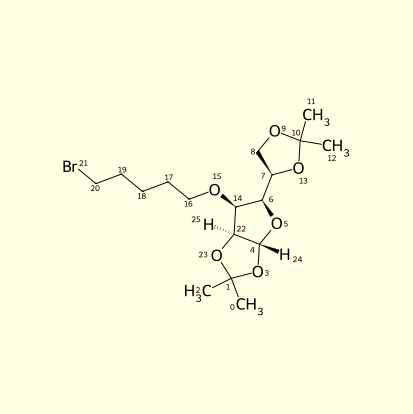 CC1(C)O[C@H]2O[C@H]([C@H]3COC(C)(C)O3)[C@H](OCCCCCBr)[C@@H]2O1